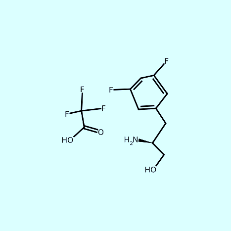 N[C@H](CO)Cc1cc(F)cc(F)c1.O=C(O)C(F)(F)F